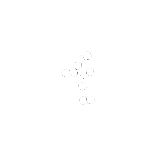 c1ccc(N(c2ccc(-c3cccc4ccccc34)cc2)c2ccc3ccccc3c2)c(-c2cccc3sc4ccccc4c23)c1